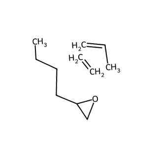 C=C.C=CC.CCCCC1CO1